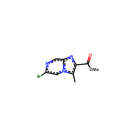 COC(=O)c1nc2cnc(Br)cn2c1C